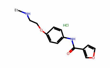 CCNCCOc1ccc(NC(=O)c2ccoc2)cc1.Cl